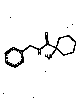 NC1(C(=O)NCc2ccccc2)CCCCC1